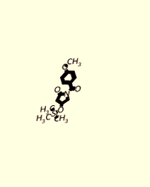 COc1ccc(C(=O)N2CC(O[Si](C)(C)C)CC2=O)cc1